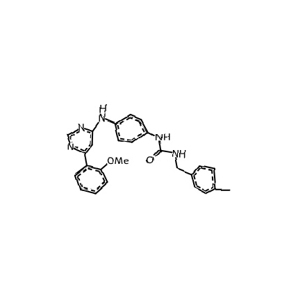 COc1ccccc1-c1cc(Nc2ccc(NC(=O)NCc3ccc(C)cc3)cc2)ncn1